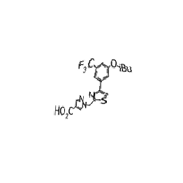 CCC(C)Oc1cc(-c2csc(Cn3cc(C(=O)O)cn3)n2)cc(C(F)(F)F)c1